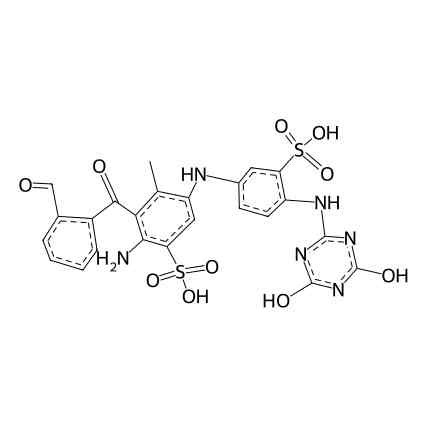 Cc1c(Nc2ccc(Nc3nc(O)nc(O)n3)c(S(=O)(=O)O)c2)cc(S(=O)(=O)O)c(N)c1C(=O)c1ccccc1C=O